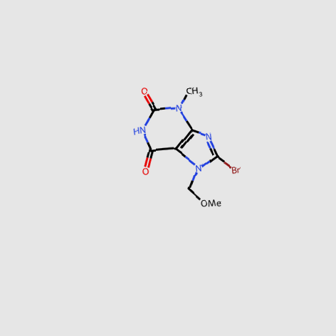 COCn1c(Br)nc2c1c(=O)[nH]c(=O)n2C